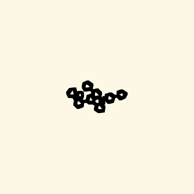 c1ccc(-c2ccc(N(c3ccc(-c4ccccc4)cc3)c3ccccc3-c3cccc(-c4cccc5c4oc4ccccc45)c3)cc2)cc1